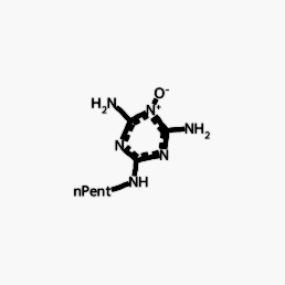 CCCCCNc1nc(N)[n+]([O-])c(N)n1